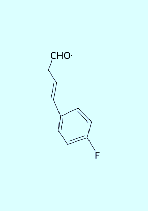 O=[C]CC=Cc1ccc(F)cc1